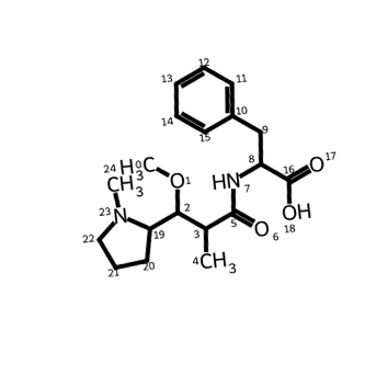 COC(C(C)C(=O)NC(Cc1ccccc1)C(=O)O)C1CCCN1C